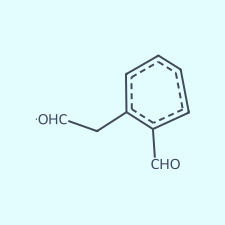 O=[C]Cc1ccccc1C=O